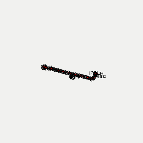 CCCCc1nc2c(N)nnc(OC(C)C)c2n1Cc1ccc(CN2CCN(C(=O)CCOCCOCCOCCOCCOCCOCCOCCOCCOCCOCCOCCOCCOCCOCCOCCOCCOCCOCCOCCOCCOCCOCCOCCOCCNC(=O)CCN3C(=O)C=CC3=O)CC2)cc1.O=C(O)C(F)(F)F